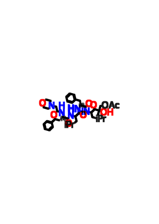 CC(=O)OCC(C)(O)C(=O)C(CC(C)C)NC(=O)[C@H](Cc1ccccc1)NC(=O)C(CC(C)C)NC(=O)[C@H](CCc1ccccc1)NC(=O)CN1CCOCC1